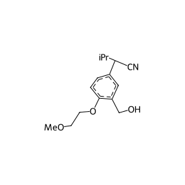 COCCOc1ccc(C(C#N)C(C)C)cc1CO